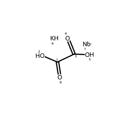 O=C(O)C(=O)O.[KH].[Nb]